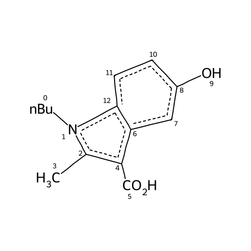 CCCCn1c(C)c(C(=O)O)c2cc(O)ccc21